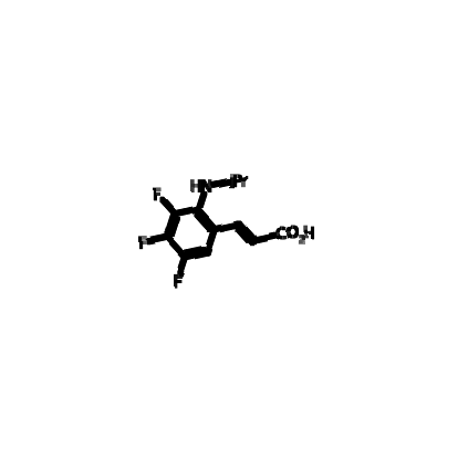 CC(C)Nc1c(C=CC(=O)O)cc(F)c(F)c1F